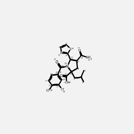 CC(C)CC1(C(=O)O)CC(C(N)=O)C(c2nccs2)N1C(=O)c1ccc(Cl)c(Cl)c1